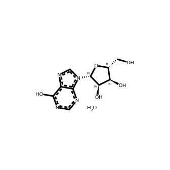 O.OC[C@H]1O[C@@H](n2cnc3c(O)ncnc32)[C@H](O)[C@@H]1O